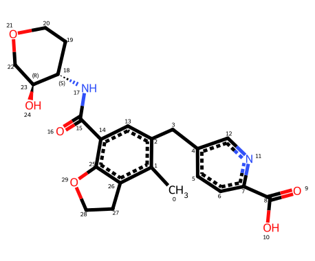 Cc1c(Cc2ccc(C(=O)O)nc2)cc(C(=O)N[C@H]2CCOC[C@@H]2O)c2c1CCO2